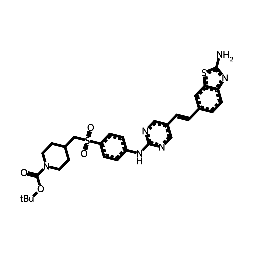 CC(C)(C)OC(=O)N1CCC(CS(=O)(=O)c2ccc(Nc3ncc(C=Cc4ccc5nc(N)sc5c4)cn3)cc2)CC1